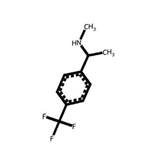 CNC(C)c1ccc(C(F)(F)F)cc1